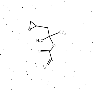 C=CC(=O)OC(C)(C)CC1CO1